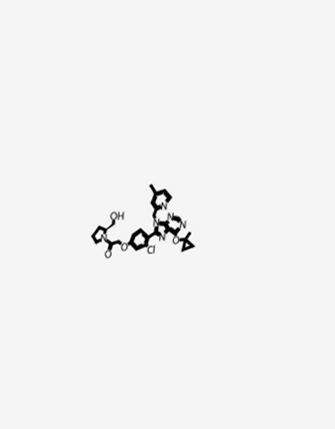 Cc1ccnc(Cn2c(-c3ccc(OCC(=O)N4CCC[C@H]4CO)cc3Cl)nc3c(OC4(C)CC4)ncnc32)c1